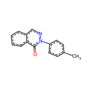 Cc1ccc(-n2ncc3ccccc3c2=O)cc1